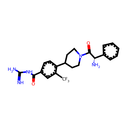 N=C(N)NC(=O)c1ccc(C2CCN(C(=O)[C@@H](N)c3ccccc3)CC2)c(C(F)(F)F)c1